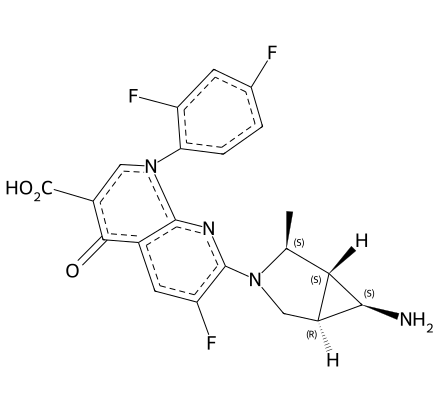 C[C@H]1[C@@H]2[C@@H](N)[C@H]2CN1c1nc2c(cc1F)c(=O)c(C(=O)O)cn2-c1ccc(F)cc1F